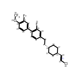 Fc1cc(-c2ccc(CC[C@H]3CC[C@H](/C=C/Cl)CC3)cc2F)ccc1OC(F)(F)F